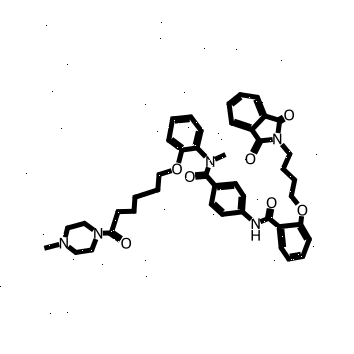 CN1CCN(C(=O)CCCCCOc2ccccc2N(C)C(=O)c2ccc(NC(=O)c3ccccc3OCCCCN3C(=O)c4ccccc4C3=O)cc2)CC1